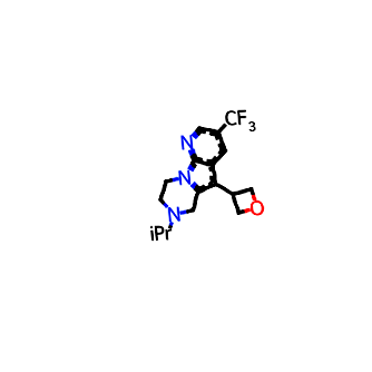 CC(C)N1CCn2c(c(C3COC3)c3cc(C(F)(F)F)cnc32)C1